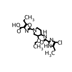 CCOC1CN(c2nc(C(=O)O)c(CC)o2)CCC1NC(=O)c1nc(Cl)c(CC)[nH]1